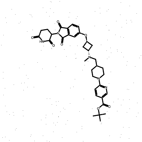 CN(CC1CCN(c2ccc(C(=O)OC(C)(C)C)cn2)CC1)[C@H]1C[C@H](Oc2ccc3c(c2)C(=O)N(C2CCC(=O)NC2=O)C3=O)C1